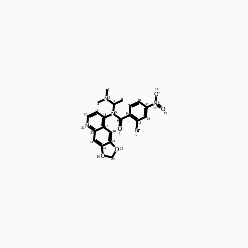 CC(N(C)C)N(C(=O)c1ccc([N+](=O)[O-])cc1Br)c1ccnc2cc3c(cc12)OCO3